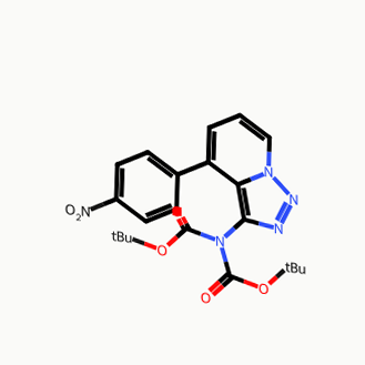 CC(C)(C)OC(=O)N(C(=O)OC(C)(C)C)c1nnn2cccc(-c3ccc([N+](=O)[O-])cc3)c12